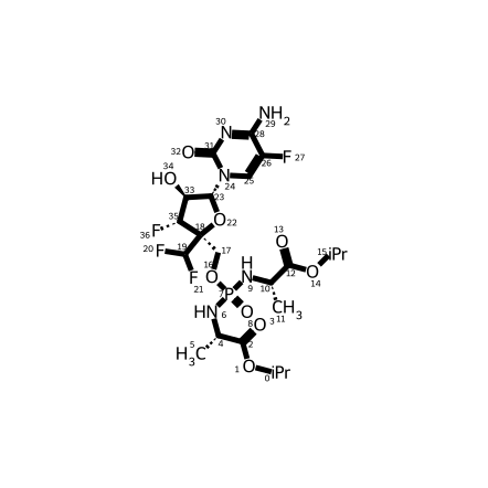 CC(C)OC(=O)[C@H](C)NP(=O)(N[C@@H](C)C(=O)OC(C)C)OC[C@@]1(C(F)F)O[C@@H](n2cc(F)c(N)nc2=O)[C@H](O)[C@H]1F